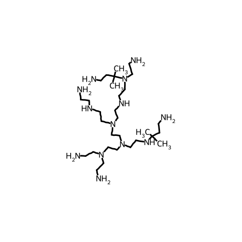 CC(C)(CCN)NCCN(CCN(CCN)CCN)CCN(CCNCCN)CCNCCN(CCN)C(C)(C)CCN